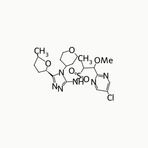 COC(c1ncc(Cl)cn1)C(C)S(=O)(=O)Nc1nnc([C@H]2CC[C@@H](C)O2)n1C1CCOCC1